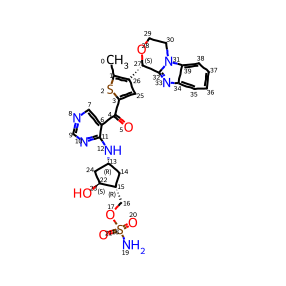 Cc1sc(C(=O)c2cncnc2N[C@@H]2C[C@H](COS(N)(=O)=O)[C@@H](O)C2)cc1[C@@H]1OCCn2c1nc1ccccc12